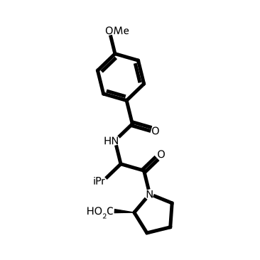 COc1ccc(C(=O)NC(C(=O)N2CCC[C@H]2C(=O)O)C(C)C)cc1